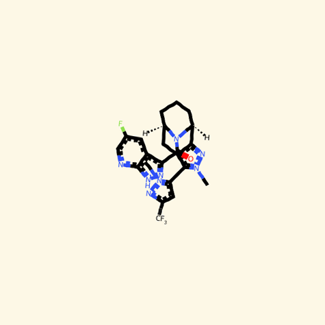 Cn1nc(C(F)(F)F)cc1-c1c2c(nn1C)[C@@H]1CCC[C@H](C2)N1C(=O)c1n[nH]c2ncc(F)cc12